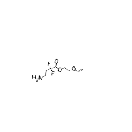 C=COCCOC(=O)C(F)(F)CCN